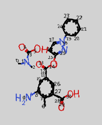 CN(C)C(=O)O.Cc1c(N)cc(C(=O)Oc2ccn(-c3ccccc3)n2)cc1C(=O)O